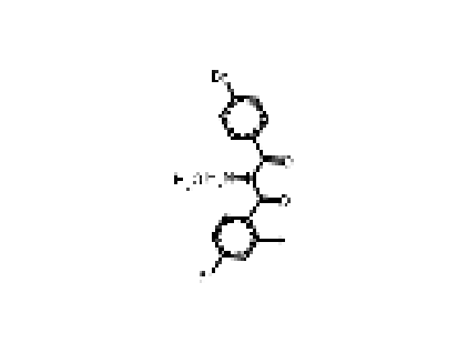 NN(C(=O)c1ccc(Br)cc1)C(=O)c1ccc(Br)cc1F.O